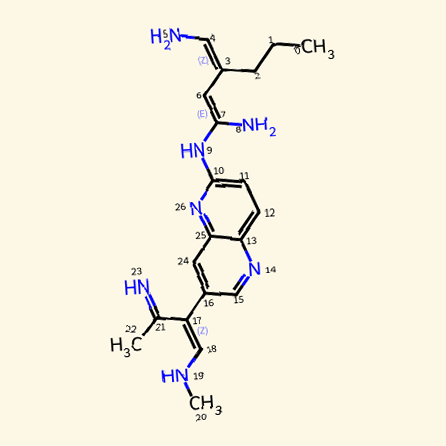 CCCC(=C/N)/C=C(\N)Nc1ccc2ncc(/C(=C/NC)C(C)=N)cc2n1